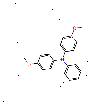 COc1ccc(N(c2cc[c]cc2)c2ccc(OC)cc2)cc1